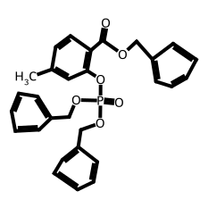 Cc1ccc(C(=O)OCc2ccccc2)c(OP(=O)(OCc2ccccc2)OCc2ccccc2)c1